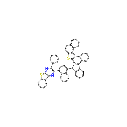 c1ccc(-c2nc3sc4ccccc4c3nc2-c2ccc(C3c4ccccc4-c4c3c3sc5ccc6ccccc6c5c3c3ccccc43)c3ccccc23)cc1